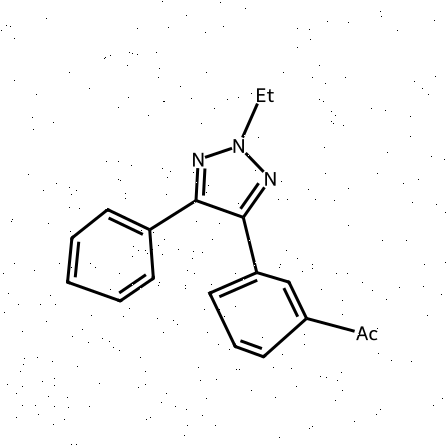 CCn1nc(-c2ccccc2)c(-c2cccc(C(C)=O)c2)n1